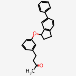 CC(=O)CCc1cccc(OC2CCc3ccc(-c4ccccc4)cc32)c1